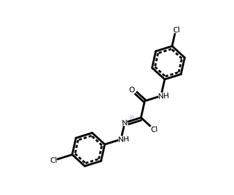 O=C(Nc1ccc(Cl)cc1)/C(Cl)=N/Nc1ccc(Cl)cc1